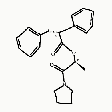 C[C@H](OC(=O)[C@H](Oc1ccccc1)c1ccccc1)C(=O)N1CCCC1